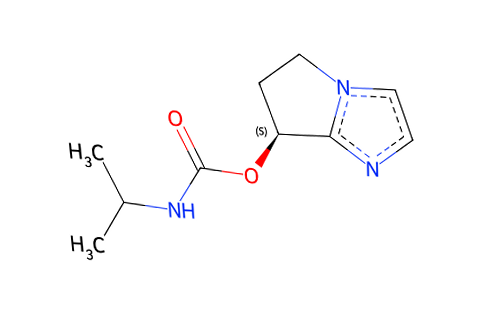 CC(C)NC(=O)O[C@H]1CCn2ccnc21